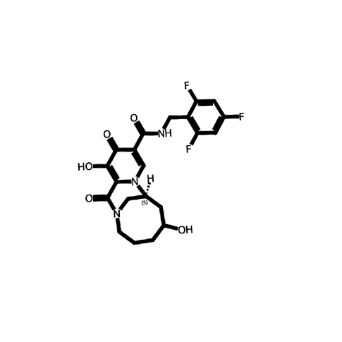 O=C(NCc1c(F)cc(F)cc1F)c1cn2c(c(O)c1=O)C(=O)N1CCCC(O)C[C@H]2C1